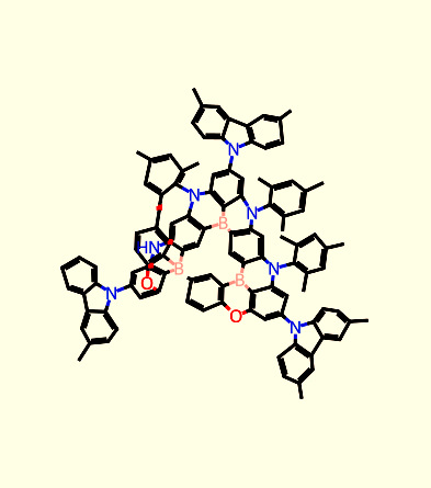 Cc1cc(C)c(N2c3cc4c(cc3B3c5cc(C)ccc5Oc5cc(-n6c7ccc(C)cc7c7cc(C)ccc76)cc2c53)B2c3cc5c(cc3N(c3c(C)cc(C)cc3C)c3cc(-n6c7ccc(C)cc7c7cc(C)ccc76)cc(c32)N4c2c(C)cc(C)cc2C)Nc2cc(-n3c4ccccc4c4cc(C)ccc43)cc3c2B5c2cc(C)ccc2O3)c(C)c1